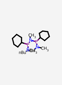 CCCCN(C)P(C1CCCCC1)N(C)P(C1CCCCC1)N(C)CCCC